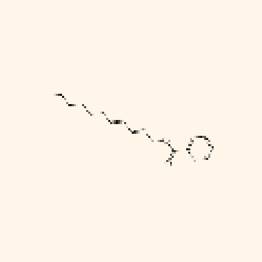 CCCCCCC=CC=CCOC(=O)c1ccccc1